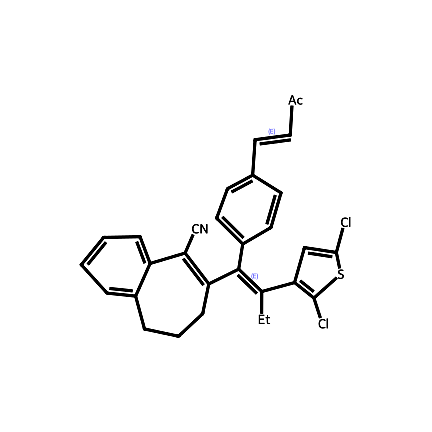 CC/C(=C(\C1=C(C#N)c2ccccc2CCC1)c1ccc(/C=C/C(C)=O)cc1)c1cc(Cl)sc1Cl